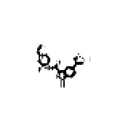 CC(C)CN1CC[C@H](NC(=O)c2n[nH]c3ccc(-c4cn[nH]c4)cc23)[C@@H](F)C1